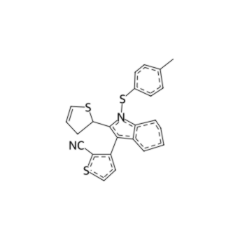 Cc1ccc(Sn2c(C3CC=CS3)c(-c3ccsc3C#N)c3ccccc32)cc1